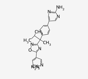 C/C=C(\C=N/N)c1nc(C(C)(c2ccc(-c3cnc(N)nc3)cc2)C(C)C)no1